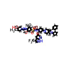 CC(C)c1ccccc1[C@H]1CCC[C@H]1N1CC2(CCN(c3ccc(C(=O)NS(=O)(=O)c4cc5c(c([N+](=O)[O-])c4)N[C@@H]([C@H]4CC[C@](C)(O)CC4)CO5)c(Oc4cnc5[nH]cc(C(F)(F)F)c5c4)c3)CC2)C1